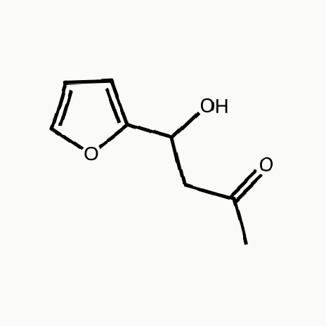 CC(=O)CC(O)c1ccco1